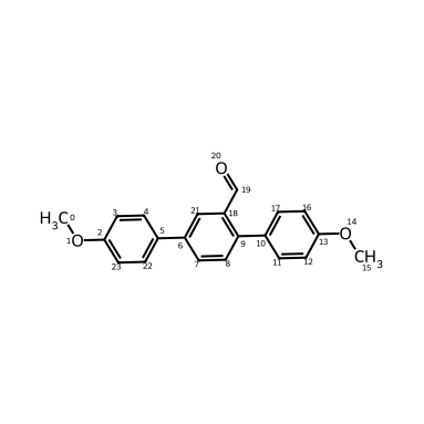 COc1ccc(-c2ccc(-c3ccc(OC)cc3)c(C=O)c2)cc1